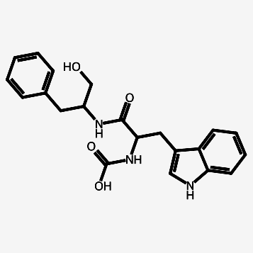 O=C(O)NC(Cc1c[nH]c2ccccc12)C(=O)NC(CO)Cc1ccccc1